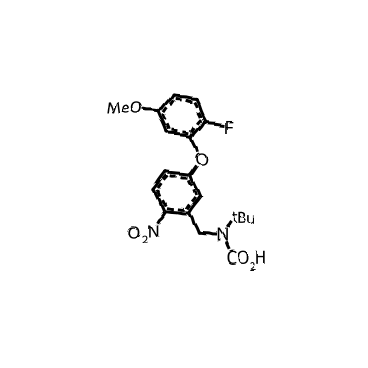 COc1ccc(F)c(Oc2ccc([N+](=O)[O-])c(CN(C(=O)O)C(C)(C)C)c2)c1